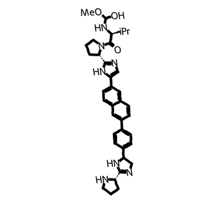 COC(O)N[C@H](C(=O)N1CCC[C@H]1c1ncc(-c2ccc3cc(-c4ccc(C5CN=C([C@@H]6CCCN6)N5)cc4)ccc3c2)[nH]1)C(C)C